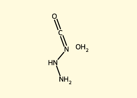 NNN=C=O.O